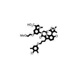 COCCOc1cc(N2C[C@@H](C)n3c(c(CCCOc4cc(C)c(Cl)c(C)c4)c4ccc(Cl)c(-c5c(C)nn(C)c5C)c43)C2=O)c2c(c1)c(C(=O)O)cn2C